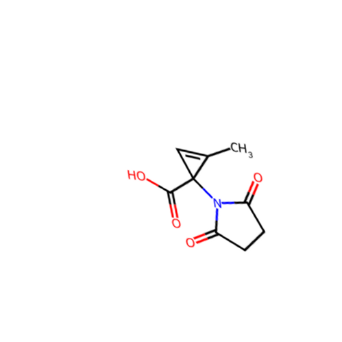 CC1=CC1(C(=O)O)N1C(=O)CCC1=O